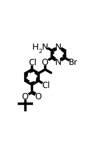 CC(Oc1nc(Br)cnc1N)c1c(Cl)ccc(C(=O)OC(C)(C)C)c1Cl